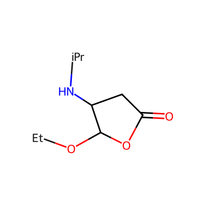 CCOC1OC(=O)CC1NC(C)C